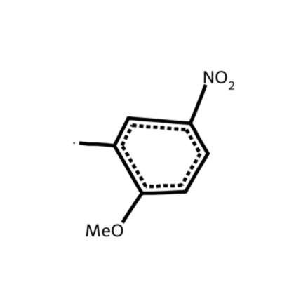 [CH2]c1cc([N+](=O)[O-])ccc1OC